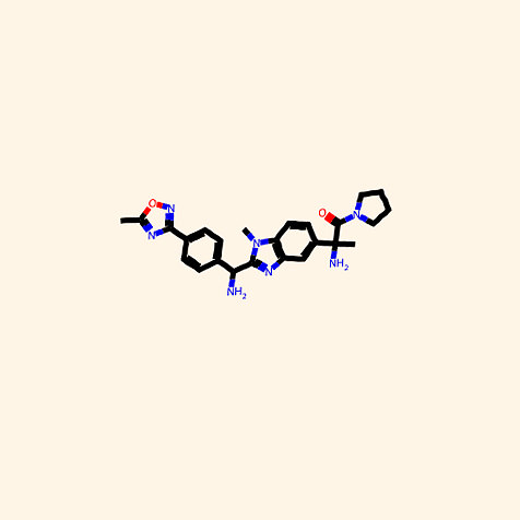 Cc1nc(-c2ccc(C(N)c3nc4cc(C(C)(N)C(=O)N5CCCC5)ccc4n3C)cc2)no1